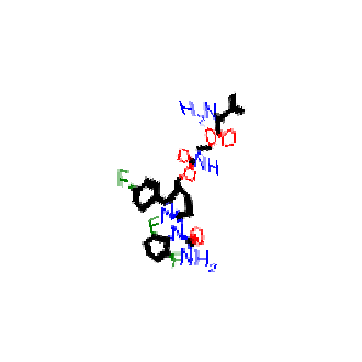 CC(C)[C@H](N)C(=O)OCCNC(=O)OCc1ccc(N(C(N)=O)c2c(F)cccc2F)nc1-c1ccc(F)cc1